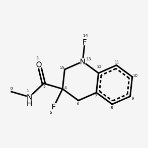 CNC(=O)C1(F)Cc2ccccc2N(F)C1